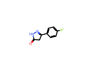 O=C1CC(c2ccc(F)cc2)=NN1